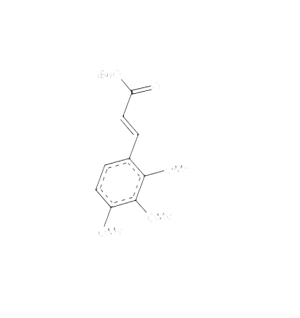 COc1ccc(/C=C/C(=O)OCC(C)C)c(OC)c1OC